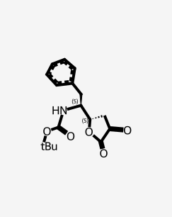 CC(C)(C)OC(=O)N[C@@H](Cc1ccccc1)[C@@H]1CC(=O)C(=O)O1